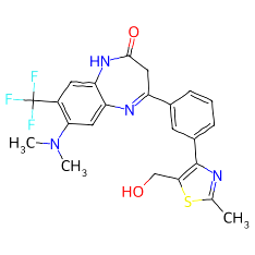 Cc1nc(-c2cccc(C3=Nc4cc(N(C)C)c(C(F)(F)F)cc4NC(=O)C3)c2)c(CO)s1